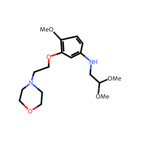 COc1ccc(NCC(OC)OC)cc1OCCN1CCOCC1